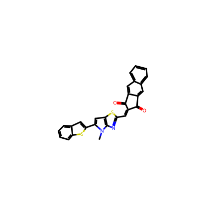 Cn1c(-c2cc3ccccc3s2)cc2sc(C=C3C(=O)c4cc5ccccc5cc4C3=O)nc21